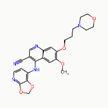 COc1cc2c(Nc3ccnc4c3OCO4)c(C#N)cnc2cc1OCCCN1CCOCC1